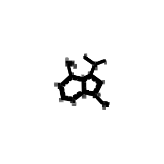 CC(C)n1cc(N(C)C)c2c(N)ncnc21